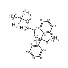 CC(C)(C)O[SiH2]CNC(CN)(c1ccccc1)c1ccccc1